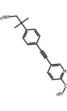 CCCOc1ccc(C#Cc2ccc(C(C)(C)CNC(C)=O)cc2)cn1